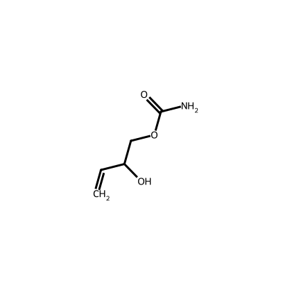 C=CC(O)COC(N)=O